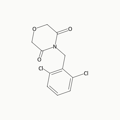 O=C1COCC(=O)N1Cc1c(Cl)cccc1Cl